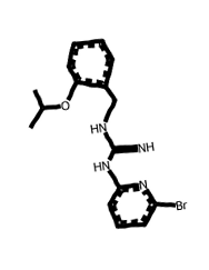 CC(C)Oc1ccccc1CNC(=N)Nc1cccc(Br)n1